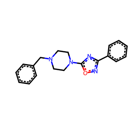 c1ccc(CN2CCN(c3nc(-c4ccccc4)no3)CC2)cc1